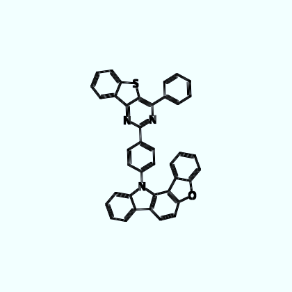 c1ccc(-c2nc(-c3ccc(-n4c5ccccc5c5ccc6oc7ccccc7c6c54)cc3)nc3c2sc2ccccc23)cc1